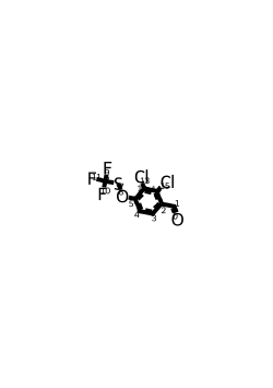 O=Cc1ccc(OSC(F)(F)F)c(Cl)c1Cl